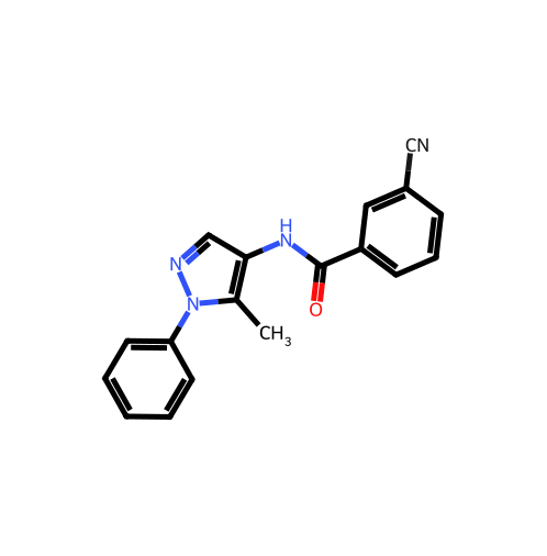 Cc1c(NC(=O)c2cccc(C#N)c2)cnn1-c1ccccc1